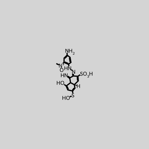 C[N+](=O)c1cc(N)ccc1N/N=C1\C(=N)C2C(O)=CC(SO)=C[C@H]2C=C1S(=O)(=O)O